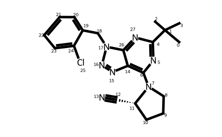 CC(C)(C)c1nc(N2CCC[C@@H]2C#N)c2nnn(Cc3ccccc3Cl)c2n1